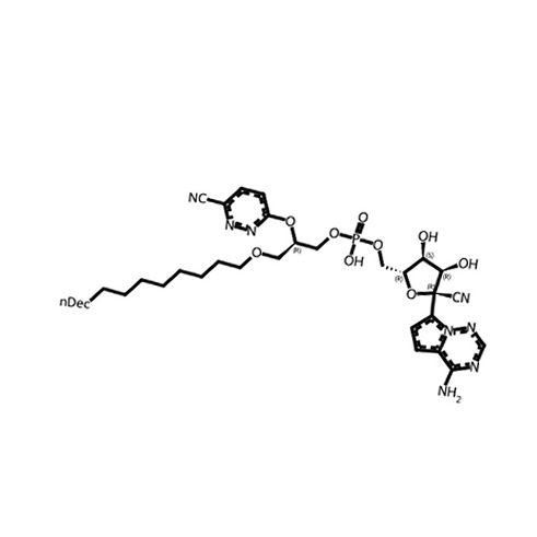 CCCCCCCCCCCCCCCCCCOC[C@H](COP(=O)(O)OC[C@H]1O[C@@](C#N)(c2ccc3c(N)ncnn23)[C@H](O)[C@@H]1O)Oc1ccc(C#N)nn1